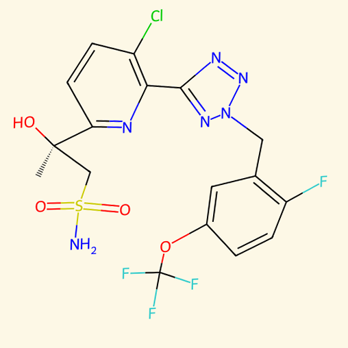 C[C@@](O)(CS(N)(=O)=O)c1ccc(Cl)c(-c2nnn(Cc3cc(OC(F)(F)F)ccc3F)n2)n1